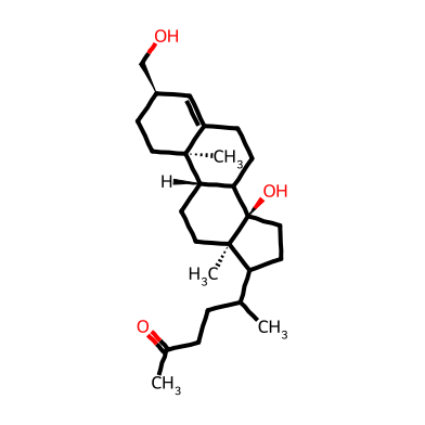 CC(=O)CCC(C)C1CC[C@@]2(O)C3CCC4=C[C@H](CO)CC[C@]4(C)[C@H]3CC[C@]12C